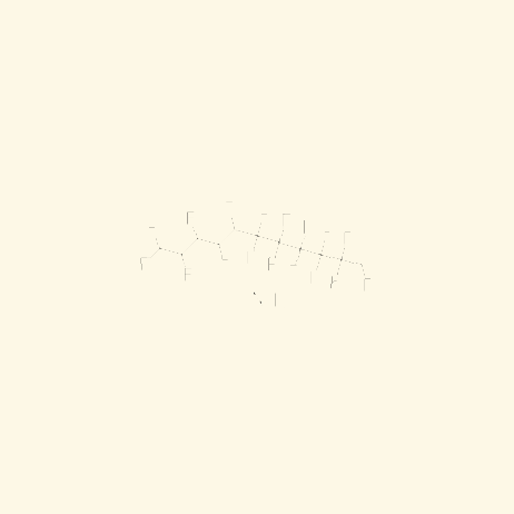 FCC(F)(F)C(F)(F)C(F)(F)C(F)(F)C(F)(F)C(F)C(F)C(F)C(F)C(F)F.N